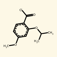 COc1ccc(C(=O)Cl)c(OC(C)C)c1